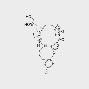 C[C@@H]1CC/C=C/[C@H](OC[C@@H](O)CO)[C@@H]2CC[C@H]2CN2CCCCc3cc(Cl)ccc3COc3ccc(cc32)C(=O)NS1(=O)=O